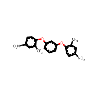 O=[N+]([O-])c1ccc(Oc2cccc(Oc3ccc([N+](=O)[O-])cc3C(F)(F)F)c2)c(C(F)(F)F)c1